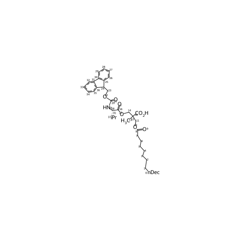 CCCCCCCCCCCCCCCCCC(=O)OCC(C)(COC(=O)[C@@H](NC(=O)OCC1c2ccccc2-c2ccccc21)C(C)C)C(=O)O